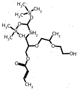 CC=CC(=O)OCC(C[SiH2]C(O[Si](C)(C)C)O[Si](C)(C)C)OCC(C)OCCO